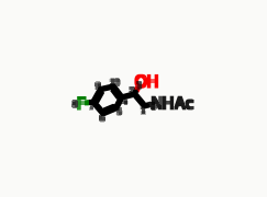 [CH2]C(=O)NCC(O)c1ccc(F)cc1